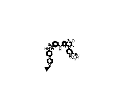 C[C@@H]1C(=O)N(C)c2ccc(Nc3cccc(S(=O)(=O)N[C@H]4CC[C@H](N5CCN(CC6CC6)CC5)CC4)c3)nc2N1C1CCN(C(=O)O)C(C(C)(C)C)C1